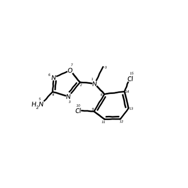 CN(c1nc(N)no1)c1c(Cl)cccc1Cl